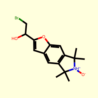 CC1(C)c2cc3cc(C(O)CBr)oc3cc2C(C)(C)[NH+]1[O-]